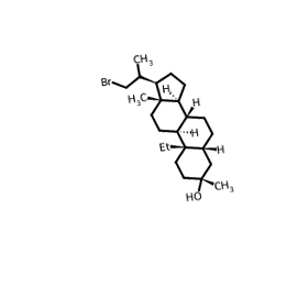 CC[C@]12CC[C@@](C)(O)C[C@H]1CC[C@H]1[C@@H]3CC[C@H](C(C)CBr)[C@@]3(C)CC[C@@H]12